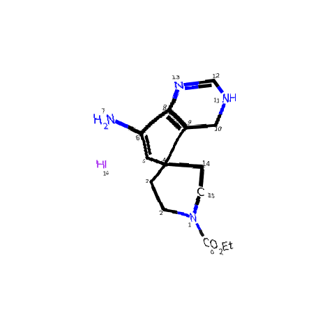 CCOC(=O)N1CCC2(C=C(N)C3=C2CNC=N3)CC1.I